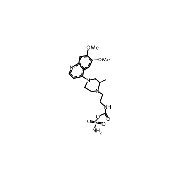 COc1cc2nccc(N3CCN(CCNC(=O)OS(N)(=O)=O)[C@H](C)C3)c2cc1OC